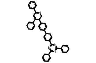 C1=CCC(c2nc(C3=CCCC=C3)nc(C3=CCC(c4ccc(C5CN=C(c6ccccc6)C=C5C5=CCCC=C5)cc4)C=C3)n2)C=C1